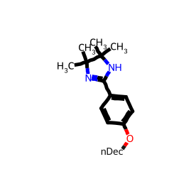 CCCCCCCCCCOc1ccc(C2=NC(C)(C)C(C)(C)N2)cc1